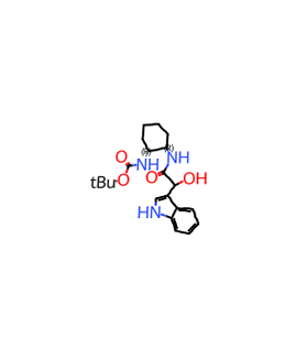 CC(C)(C)OC(=O)N[C@@H]1CCCC[C@H]1NC(=O)C(O)c1c[nH]c2ccccc12